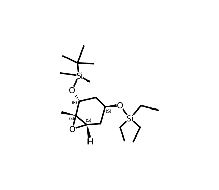 CC[Si](CC)(CC)O[C@H]1C[C@@H]2O[C@]2(C)[C@H](O[Si](C)(C)C(C)(C)C)C1